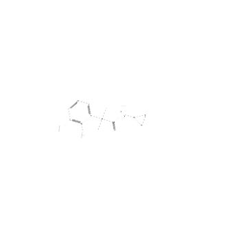 CC(C)(C(=O)NC1CC1)c1cccc(F)c1F